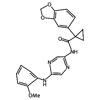 COc1ccccc1Nc1cnc(NC(=O)C2(c3ccc4c(c3)OCO4)CC2)cn1